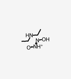 CCNCC.[O-][NH+]=NO